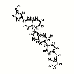 CCn1cnc(-c2ccc3c(-c4cnc5cc(-c6ccc(CN7CCCC7)cc6)c(C)nn45)ccnc3n2)c1